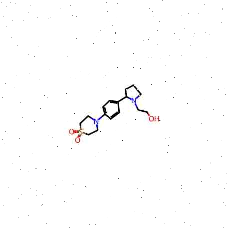 O=S1(=O)CCN(c2ccc(C3CCCN3CCO)cc2)CC1